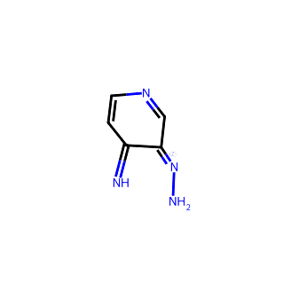 N=C1C=CN=C/C1=N/N